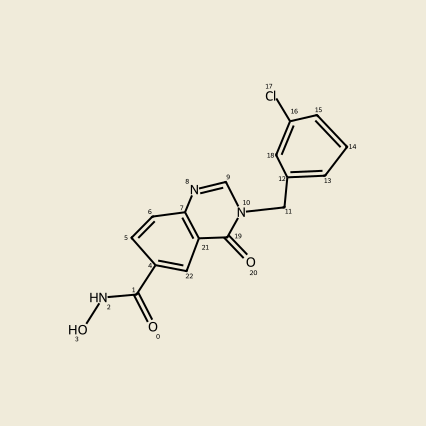 O=C(NO)c1ccc2ncn(Cc3cccc(Cl)c3)c(=O)c2c1